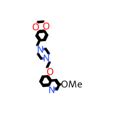 COc1cnc2cccc(OCCN3CCN(Cc4ccc5c(c4)OCCO5)CC3)c2c1